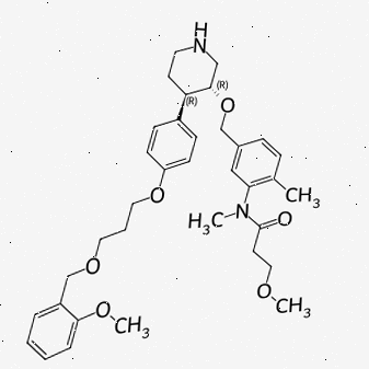 COCCC(=O)N(C)c1cc(CO[C@H]2CNCC[C@@H]2c2ccc(OCCCOCc3ccccc3OC)cc2)ccc1C